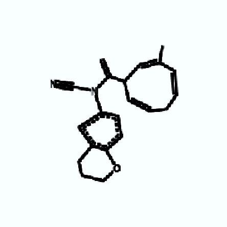 C=C(C1C=CC/C=C\C(C)=C/1)N(C#N)c1ccc2c(c1)CCCO2